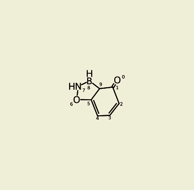 O=C1C=CC=C2ONBC12